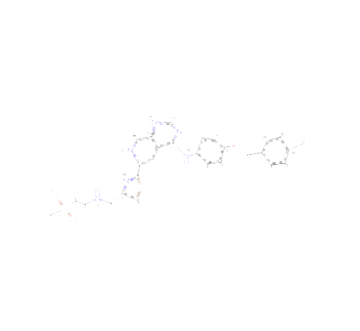 CS(=O)(=O)CCNCc1csc(-c2cc3c(Nc4ccc(OCc5ccc(F)cc5)cc4)ncnc3cn2)n1